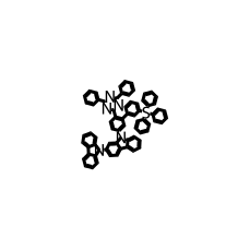 c1ccc(-c2nc(-c3ccccc3)nc(-c3ccc(-n4c5ccccc5c5ccc(-n6c7ccccc7c7ccccc76)cc54)cc3-c3cccc(S(c4ccccc4)(c4ccccc4)c4ccccc4)c3)n2)cc1